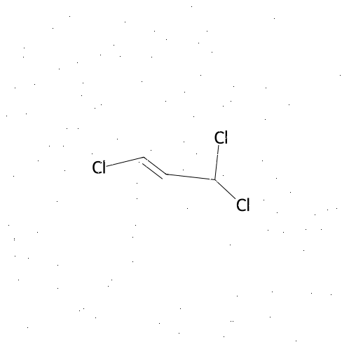 Cl/C=C/C(Cl)Cl